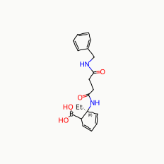 CC[C@]1(NC(=O)CCC(=O)NCc2ccccc2)C=CC=CC1B(O)O